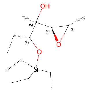 CC[C@@H](O[Si](CC)(CC)CC)[C@@](C)(O)[C@@H]1O[C@H]1C